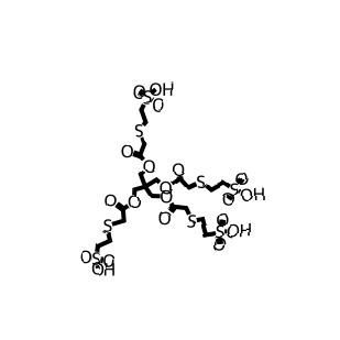 O=C(CSCCS(=O)(=O)O)OCC(COC(=O)CSCCS(=O)(=O)O)(COC(=O)CSCCS(=O)(=O)O)COC(=O)CSCCS(=O)(=O)O